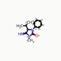 CC(C)C1C(=N)N(C)C(=O)N1c1ccccc1